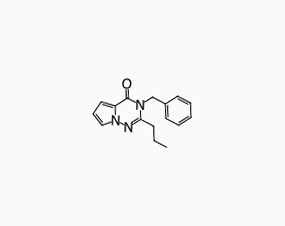 CCCc1nn2cccc2c(=O)n1Cc1ccccc1